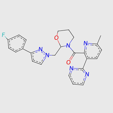 Cc1ccc(-c2ncccn2)c(C(=O)N2CCCOC2Cn2ccc(-c3ccc(F)cc3)n2)n1